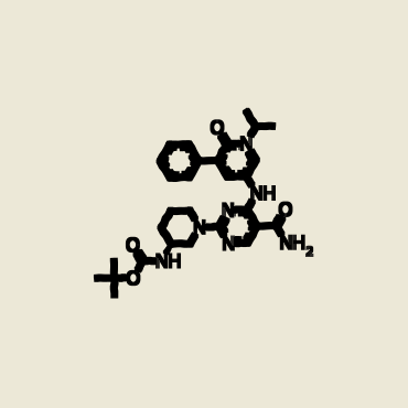 CC(C)n1cc(Nc2nc(N3CCC[C@H](NC(=O)OC(C)(C)C)C3)ncc2C(N)=O)cc(-c2ccccc2)c1=O